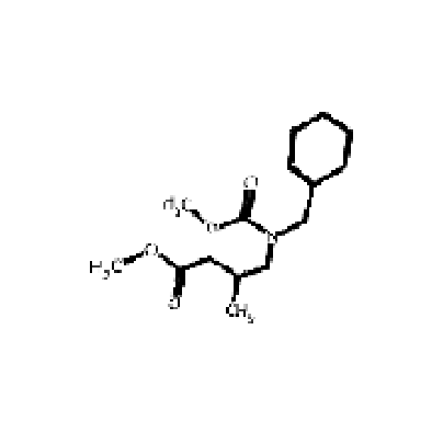 COC(=O)CC(C)CN(CC1CCCCC1)C(=O)OC